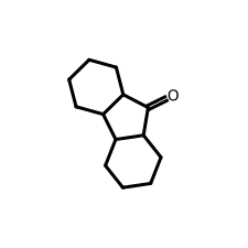 O=C1C2CCCCC2C2CCCCC12